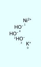 [K+].[Ni+2].[OH-].[OH-].[OH-]